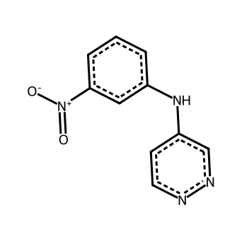 O=[N+]([O-])c1cccc(Nc2ccnnc2)c1